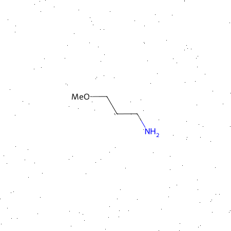 COC[CH]CN